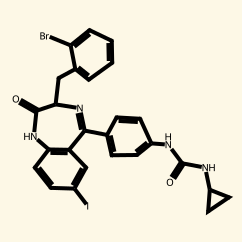 O=C(Nc1ccc(C2=NC(Cc3ccccc3Br)C(=O)Nc3ccc(I)cc32)cc1)NC1CC1